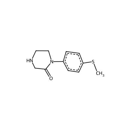 CSc1ccc(N2CCNCC2=O)cc1